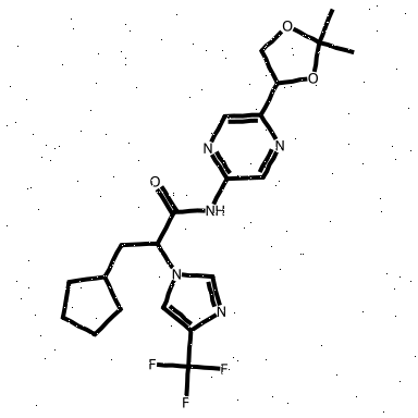 CC1(C)OCC(c2cnc(NC(=O)C(CC3CCCC3)n3cnc(C(F)(F)F)c3)cn2)O1